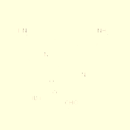 CC(C)(C)OC=O.Nc1ccnc(C(=O)N2CCNCC2)c1